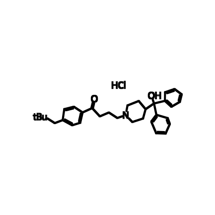 CC(C)(C)Cc1ccc(C(=O)CCCN2CCC(C(O)(c3ccccc3)c3ccccc3)CC2)cc1.Cl